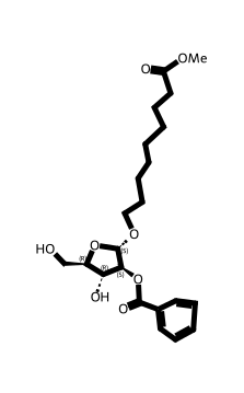 COC(=O)CCCCCCCCO[C@H]1O[C@H](CO)[C@@H](O)[C@@H]1OC(=O)c1ccccc1